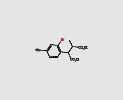 CCOC(=O)C(C)C(C(=O)OCC)c1ccc(C(C)(C)C)cc1Br